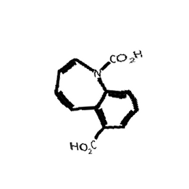 O=C(O)c1cccc2c1C=CC=CN2C(=O)O